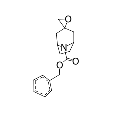 O=C(OCc1ccccc1)N1C2CCC1CC1(CO1)C2